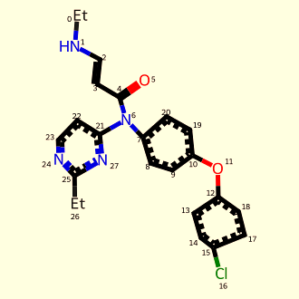 CCNC=CC(=O)N(c1ccc(Oc2ccc(Cl)cc2)cc1)c1ccnc(CC)n1